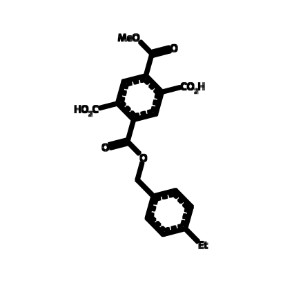 CCc1ccc(COC(=O)c2cc(C(=O)O)c(C(=O)OC)cc2C(=O)O)cc1